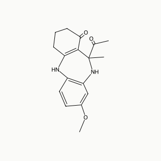 COc1ccc2c(c1)NC(C)(C(C)=O)C1=C(CCCC1=O)N2